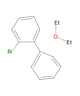 Brc1ccccc1-c1ccccc1.CCOCC